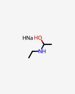 CCNC(C)O.[NaH]